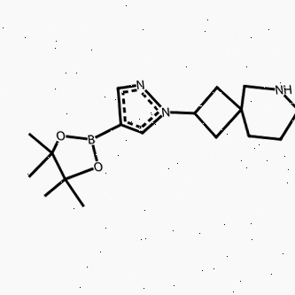 CC1(C)OB(c2cnn(C3CC4(CCCNC4)C3)c2)OC1(C)C